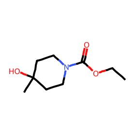 CCOC(=O)N1CCC(C)(O)CC1